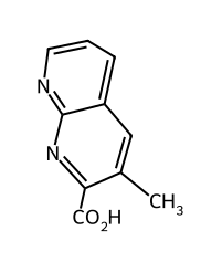 Cc1cc2cccnc2nc1C(=O)O